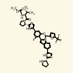 COC(=O)N[C@H](C(=O)N1CCC[C@H]1c1ncc(-c2cc(F)c3c(c2)OC(c2ccc(C(F)(F)F)s2)n2c-3cc3cc(-c4cnc([C@@H]5CCCN5)[nH]4)ccc32)[nH]1)C(C)C